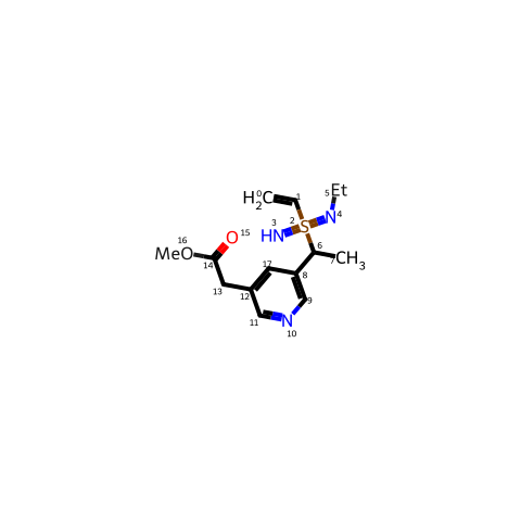 C=CS(=N)(=NCC)C(C)c1cncc(CC(=O)OC)c1